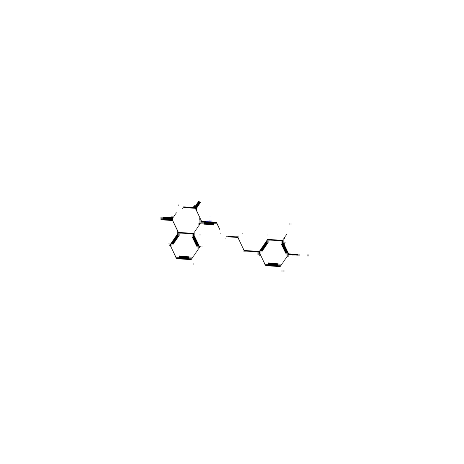 O=C1NC(=O)c2ccccc2/C1=C\NCCc1ccc(O)c(O)c1